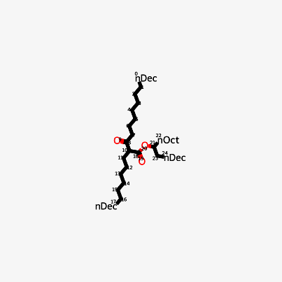 CCCCCCCCCCCCCCCCCC(=O)C(CCCCCCCCCCCCCCCC)C(=O)OC(CCCCCCCC)CCCCCCCCCCC